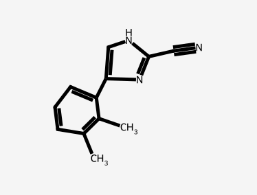 Cc1cccc(-c2c[nH]c(C#N)n2)c1C